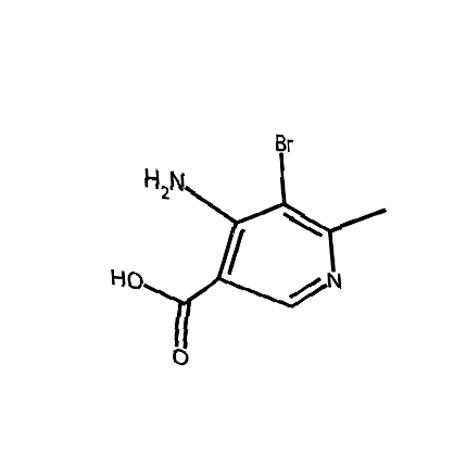 Cc1ncc(C(=O)O)c(N)c1Br